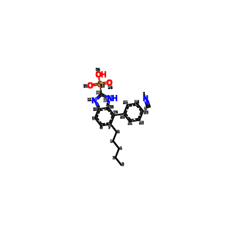 C#N.CCCCCc1ccc2nc(S(=O)(=O)O)[nH]c2c1-c1ccccc1